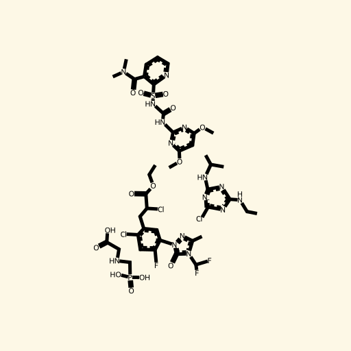 CCNc1nc(Cl)nc(NC(C)C)n1.CCOC(=O)C(Cl)Cc1cc(-n2nc(C)n(C(F)F)c2=O)c(F)cc1Cl.COc1cc(OC)nc(NC(=O)NS(=O)(=O)c2ncccc2C(=O)N(C)C)n1.O=C(O)CNCP(=O)(O)O